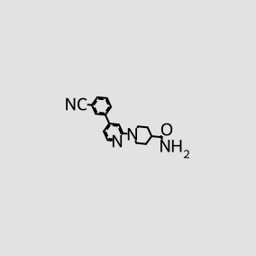 N#Cc1cccc(-c2ccnc(N3CCC(C(N)=O)CC3)c2)c1